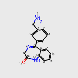 NCc1cccc(C2=NCC(=O)Nc3ccccc32)c1